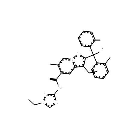 CCc1c(C(OI)(c2ccccc2C)c2ccccc2F)nn2cc(C)c(C(=O)Nc3ncn(CC)n3)cc12